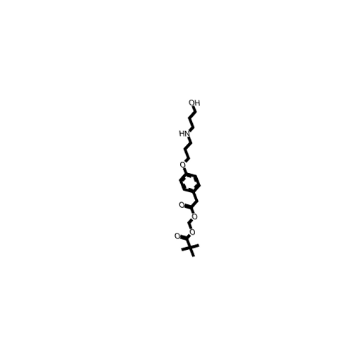 CC(C)(C)C(=O)OCOC(=O)Cc1ccc(OCCCNCCCO)cc1